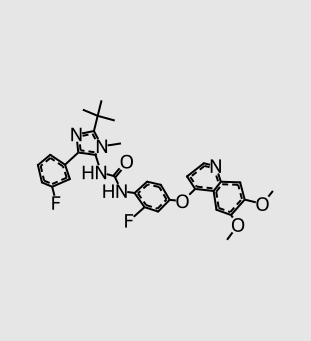 COc1cc2nccc(Oc3ccc(NC(=O)Nc4c(-c5cccc(F)c5)nc(C(C)(C)C)n4C)c(F)c3)c2cc1OC